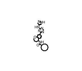 O=C(NC1CCCOc2cc(-c3ncnc(Nc4cn[nH]c4)n3)ccc21)C1CCCCCCCCC1